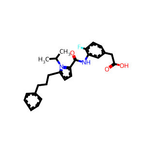 CC(C)n1c(CCCc2ccccc2)ccc1C(=O)Nc1cc(CC(=O)O)ccc1F